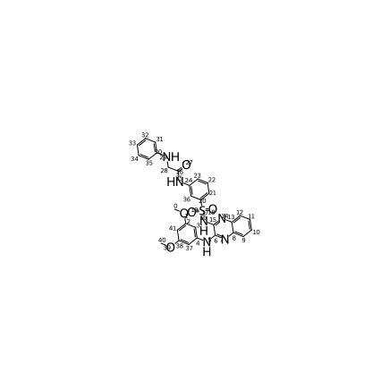 COc1cc(Nc2nc3ccccc3nc2NS(=O)(=O)c2cccc(NC(=O)CNc3ccccc3)c2)cc(OC)c1